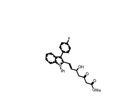 COC(=O)CC(=O)CC(O)C=Cc1c(-c2ccc(F)cc2)c2ccccc2n1C(C)C